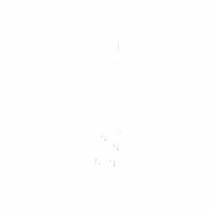 Cn1cnc2c1c(=O)n(CCCCCCCCCC(=O)CCl)c(=O)n2C